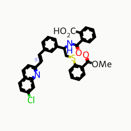 COC(=O)c1ccccc1SCC(NC(=O)c1ccccc1C(=O)O)c1cccc(/C=C/c2ccc3ccc(Cl)cc3n2)c1